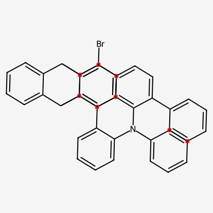 Brc1ccc(-c2ccccc2N(c2ccccc2)c2ccccc2-c2ccccc2)c2c1C1c3ccccc3C2c2ccccc21